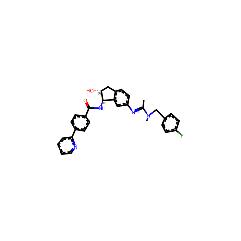 C/C(=N\c1ccc2c(c1)[C@@H](NC(=O)c1ccc(-c3ccccn3)cc1)[C@H](O)C2)N(C)Cc1ccc(F)cc1